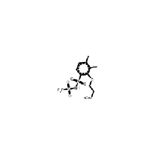 CCCCCCCCCCCCOc1c(S(=O)(=O)NS(=O)(=O)C(F)(F)F)ccc(C)c1C